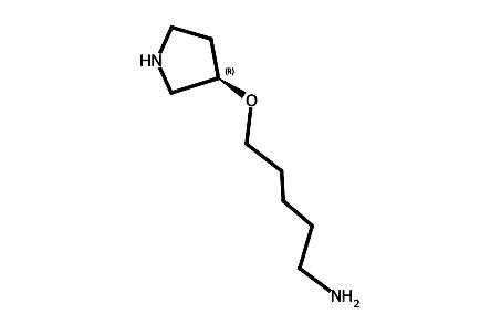 NCCCCCO[C@@H]1CCNC1